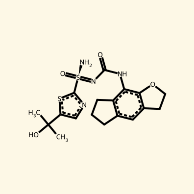 CC(C)(O)c1cnc([S@](N)(=O)=NC(=O)Nc2c3c(cc4c2OCC4)CCC3)s1